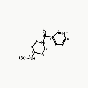 CC(C)(C)NC1CCN(C(=O)c2cccnc2)CC1